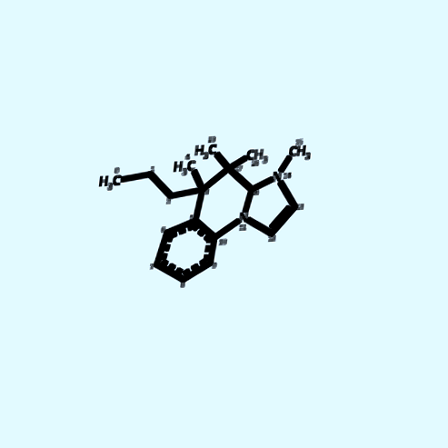 CCCC1(C)c2ccccc2N2C=CN(C)C2C1(C)C